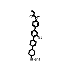 C=CC(=O)N(C)c1ccc(-c2ccc(-c3ccc(C4CCC(CCCCC)CC4)cc3)c(CC)c2)cc1